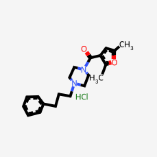 Cc1cc(C(=O)N2CCN(CCCc3ccccc3)CC2)c(C)o1.Cl